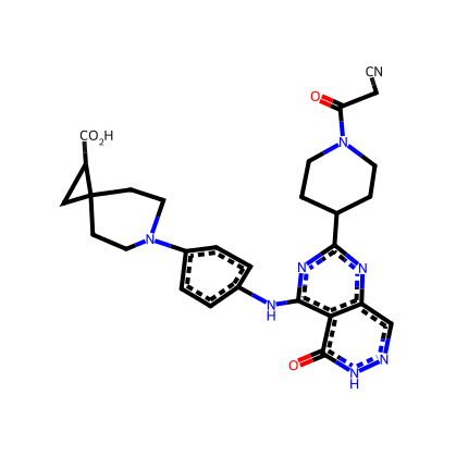 N#CCC(=O)N1CCC(c2nc(Nc3ccc(N4CCC5(CC4)CC5C(=O)O)cc3)c3c(=O)[nH]ncc3n2)CC1